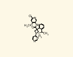 COc1cc(Cl)ncc1NC(=O)C1(c2ccccc2C(C)C)CN(c2ccncn2)C1